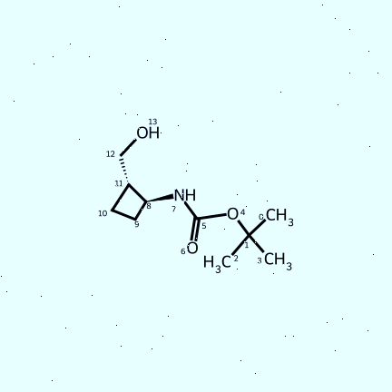 CC(C)(C)OC(=O)N[C@H]1CC[C@@H]1CO